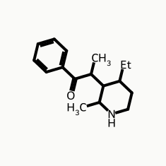 CCC1CCNC(C)C1C(C)C(=O)c1ccccc1